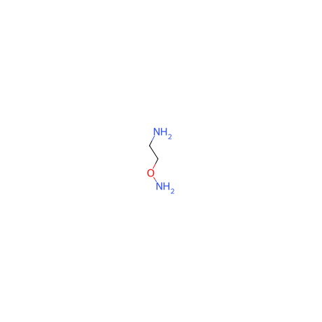 NCCON